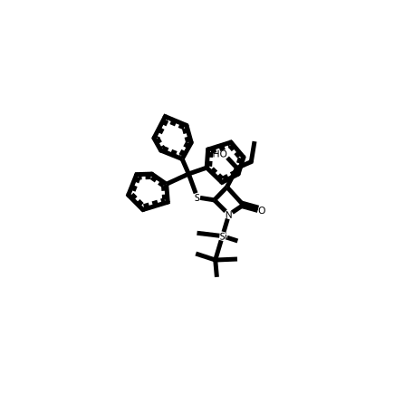 CCC(O)C1C(=O)N([Si](C)(C)C(C)(C)C)C1SC(c1ccccc1)(c1ccccc1)c1ccccc1